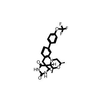 C[C@@H]1CN2c3cc(-c4ccc(OC(F)(F)F)cc4)ccc3CC3(C(=O)NC(=O)NC3=O)[C@H]2[C@H](C)O1